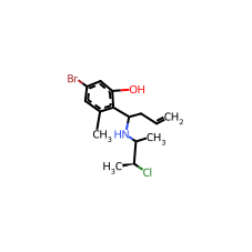 C=CCC(NC(C)[C@H](C)Cl)c1c(C)cc(Br)cc1O